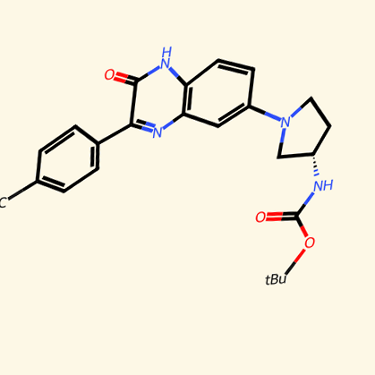 CC(C)(C)OC(=O)N[C@H]1CCN(c2ccc3[nH]c(=O)c(-c4ccc(C#N)cc4)nc3c2)C1